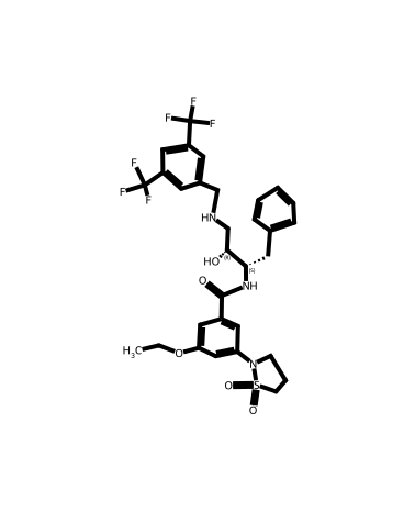 CCOc1cc(C(=O)N[C@@H](Cc2ccccc2)[C@H](O)CNCc2cc(C(F)(F)F)cc(C(F)(F)F)c2)cc(N2CCCS2(=O)=O)c1